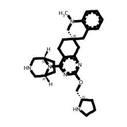 CN1C[C@]2(CCc3c(nc(OC[C@@H]4CCCN4)nc3N3[C@@H]4CC[C@H]3CNC4)C2)Cc2ccccc21